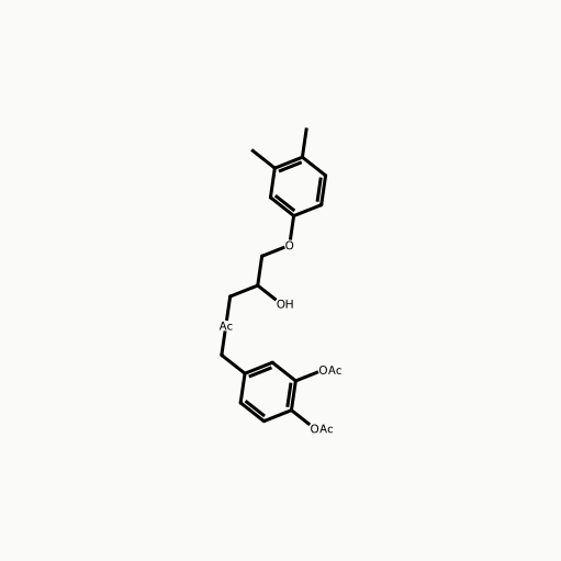 CC(=O)Oc1ccc([CH2][Ac][CH2]C(O)COc2ccc(C)c(C)c2)cc1OC(C)=O